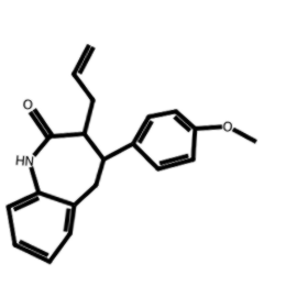 C=CCC1C(=O)Nc2ccccc2CC1c1ccc(OC)cc1